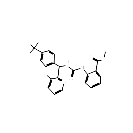 COC(=O)c1ccccc1NC(=O)NC(c1ccc(C(F)(F)F)cc1)c1ncccc1F